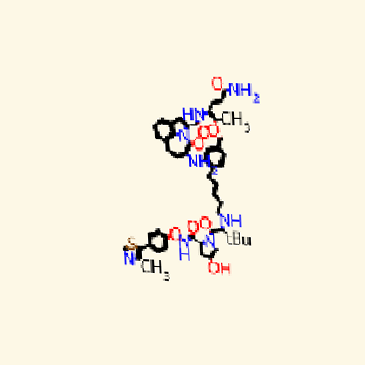 Cc1ncsc1-c1ccc(ONC(=O)[C@@H]2C[C@@H](O)CN2C(=O)[C@@H](NCCCCCc2ccc(CO[C@H](C)[C@H](CCC(N)=O)NC(=O)[C@@H]3Cc4cccc5c4N3C(=O)[C@@H](N)CC5)cc2)C(C)(C)C)cc1